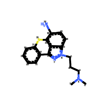 CN(C)CCCn1nc2c3c(c(N)ccc31)Sc1ccccc1-2